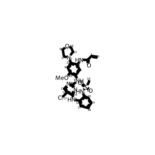 C=CC(=O)Nc1cc(Nc2ncc(Cl)c(Nc3ccccc3NS(C)(=O)=O)n2)c(OC)cc1N1CCOCC1